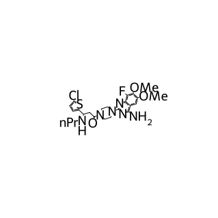 CCCNC(CC(=O)N1CCN(c2nc(N)c3cc(OC)c(OC)c(F)c3n2)CC1)c1ccc(Cl)s1